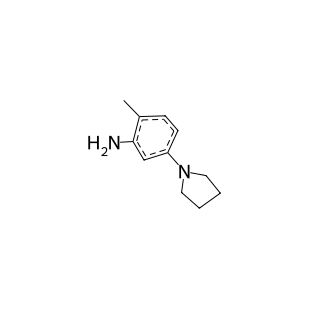 Cc1ccc(N2CCCC2)cc1N